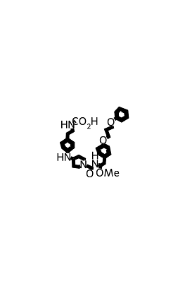 COC(Cc1ccc(OCCCOc2ccccc2)cc1)NC(=O)N1CCC(Nc2ccc(CCNC(=O)O)cc2)CC1